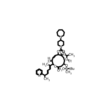 CCOC(C)OC1(C)CCC(O[Si](C)(C)C(C)(C)C)CC(=O)OC(C(C)=CC=CC(C)c2ccccn2)C(C)C=CC1OC(=O)N1CCC(N2CCCCCC2)CC1